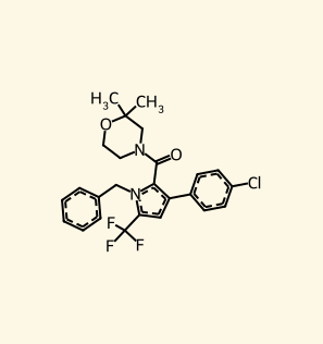 CC1(C)CN(C(=O)c2c(-c3ccc(Cl)cc3)cc(C(F)(F)F)n2Cc2ccccc2)CCO1